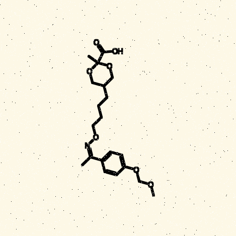 COCOc1ccc(/C(C)=N\OCCCCC2COC(C)(C(=O)O)OC2)cc1